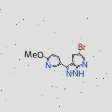 COc1ccc(-c2n[nH]c3ncc(Br)cc23)cn1